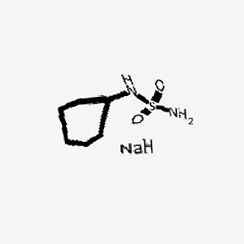 NS(=O)(=O)NC1CCCCC1.[NaH]